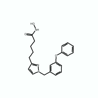 O=C(CCCCc1ccn(Cc2cccc(Oc3ccccc3)c2)n1)NO